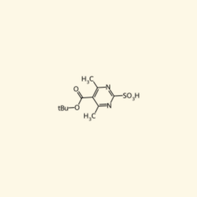 Cc1nc(S(=O)(=O)O)nc(C)c1C(=O)OC(C)(C)C